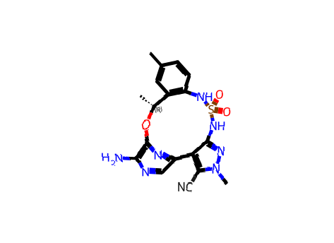 Cc1ccc2c(c1)[C@@H](C)Oc1nc(cnc1N)-c1c(nn(C)c1C#N)NS(=O)(=O)N2